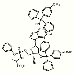 C#C[C@]1(COP(=O)(NC(C)C(=O)O)Oc2ccccc2)O[C@@H](n2cnc3c(NC(c4ccccc4)(c4ccccc4)c4ccc(OC)cc4)nc(F)nc32)C[C@@H]1OC(c1ccccc1)(c1ccccc1)c1ccc(OC)cc1